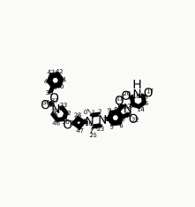 C[C@@H]1CN(c2ccc3c(c2)C(=O)N(C2CCC(=O)NC2=O)C3=O)C[C@H](C)N1C1CC(OC2CCN(C(=O)OCc3ccccc3)CC2)C1